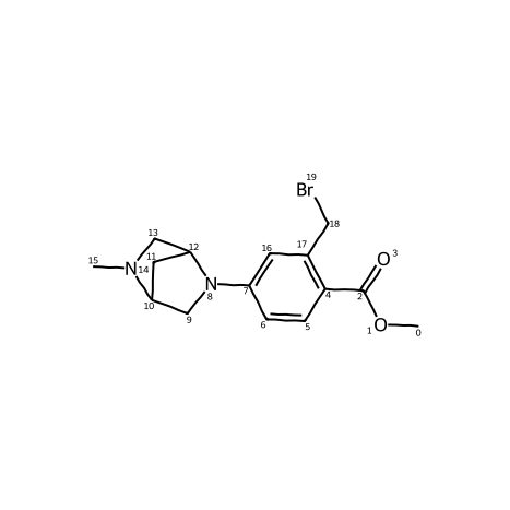 COC(=O)c1ccc(N2CC3CC2CN3C)cc1CBr